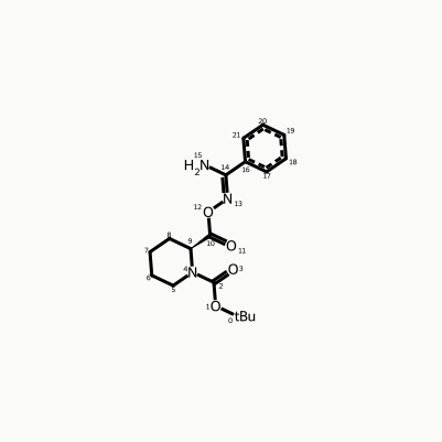 CC(C)(C)OC(=O)N1CCCC[C@H]1C(=O)O/N=C(\N)c1ccccc1